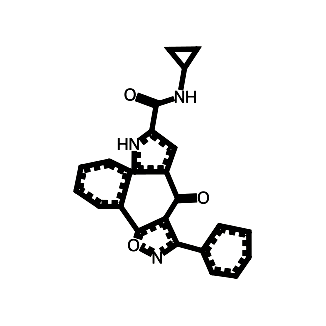 O=C(NC1CC1)c1cc(C(=O)c2c(-c3ccccc3)noc2-c2ccccc2)c[nH]1